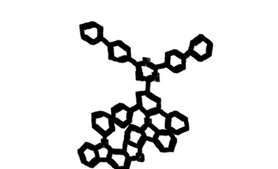 C1=CC(c2cc(-c3nc(-c4ccc(-c5ccccc5)cc4)nc(-c4ccc(-c5ccccc5)cc4)n3)cc(-c3ccccc3)c2-n2c3ccccc3c3c4oc5ccc6c7ccccc7n(-c7ccccc7)c6c5c4ccc32)=CCC1